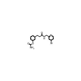 NC(=O)Oc1cccc(CCC(=O)NCc2cc(Br)ccn2)c1